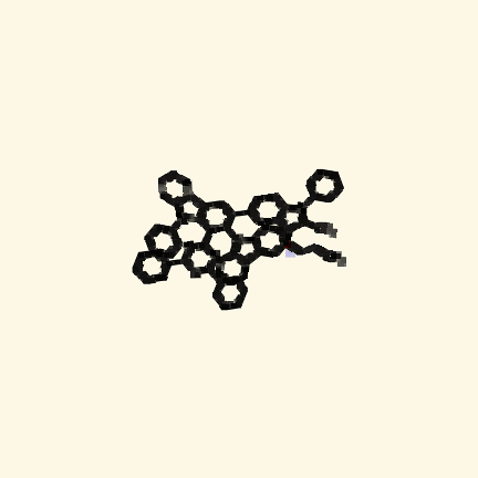 C=C/C=C\c1c(C)n(-c2ccccc2)c2ccc(-c3cc4c5ccccc5n(-c5ccccc5)c4c(-c4nc(-c5ccccc5)nc(-c5ccccc5)n4)c3-n3c4ccccc4c4ccccc43)cc12